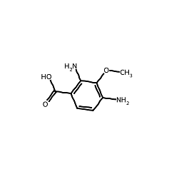 COc1c(N)ccc(C(=O)O)c1N